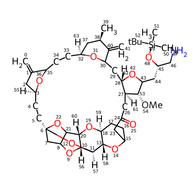 C=C1C[C@@H]2CC[C@@]34CC5O[C@H]6[C@@H](O3)[C@H]3OC(CC[C@@H]3O[C@H]6C5O4)CC(=O)C[C@H]3[C@H](CC4O[C@@H](CCC1O2)C[C@@H](C)C4=C)OC(C[C@@H](CN)O[Si](C)(C)C(C)(C)C)[C@@H]3OC